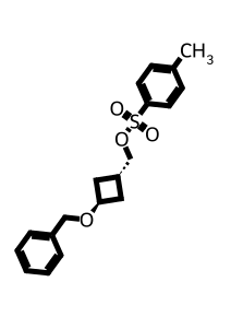 Cc1ccc(S(=O)(=O)OC[C@H]2C[C@H](OCc3ccccc3)C2)cc1